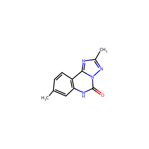 Cc1ccc2c(c1)[nH]c(=O)n1nc(C)nc21